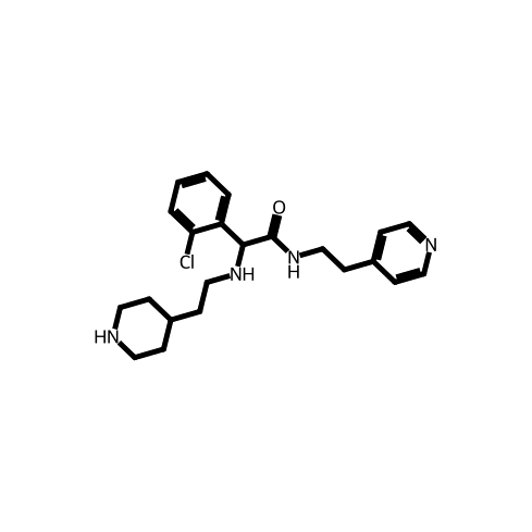 O=C(NCCc1ccncc1)C(NCCC1CCNCC1)c1ccccc1Cl